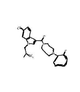 CC(N)Cn1cc(C(=O)N2CCN(c3ccccc3F)CC2)c2ccc(Cl)cc21